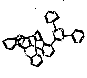 c1ccc(-c2nc(-c3ccccc3)nc(-c3cccc4c3-c3cccc(-c5nc6ccccc6s5)c3C43c4ccccc4Oc4ccccc43)n2)cc1